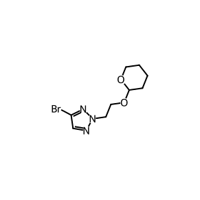 Brc1cnn(CCOC2CCCCO2)n1